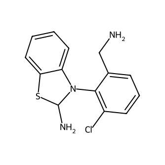 NCc1cccc(Cl)c1N1c2ccccc2SC1N